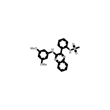 COc1cc(Nc2nc3ccccc3nc2-c2ccccc2NS(C)(=O)=O)cc(OC)c1